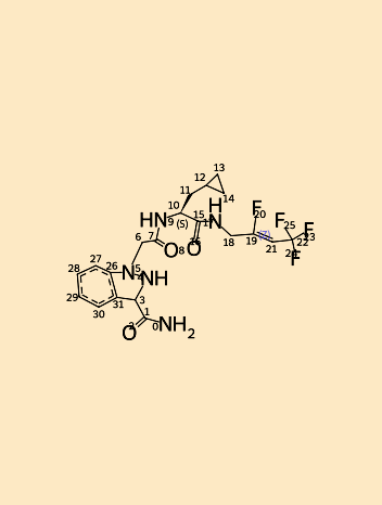 NC(=O)C1NN(CC(=O)N[C@@H](CC2CC2)C(=O)NC/C(F)=C/C(F)(F)F)c2ccccc21